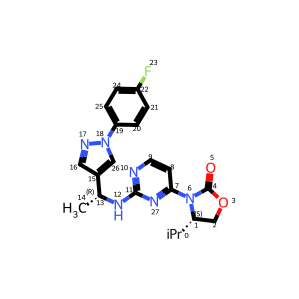 CC(C)[C@H]1COC(=O)N1c1ccnc(N[C@H](C)c2cnn(-c3ccc(F)cc3)c2)n1